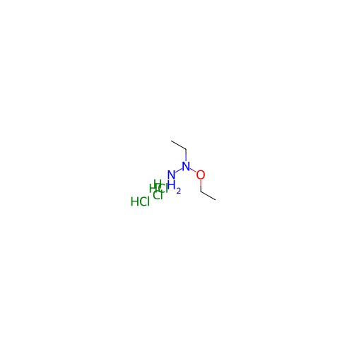 CCON(N)CC.Cl.Cl.Cl